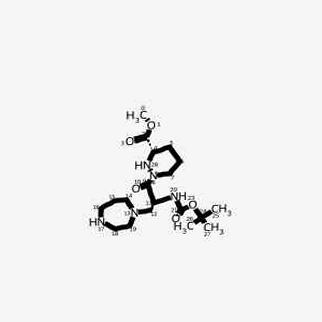 COC(=O)[C@@H]1CCCN(C(=O)[C@H](CN2CCCNCC2)NC(=O)OC(C)(C)C)N1